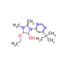 C=C1N(C)C(OCC)C(O)N1c1cc(C(C)(C)C)ncn1